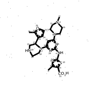 Cc1nc(Nc2nc(N3CCN(C)CC3)cc(N3CCNCC3c3ccoc3C)n2)sc1C(=O)O